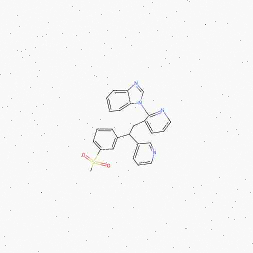 CS(=O)(=O)c1cccc(C(Cc2cccnc2-n2cnc3ccccc32)c2cccnc2)c1